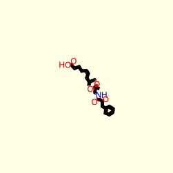 CC1(CNC(=O)C(=O)Cc2ccccc2)OCC(C/C=C\CCCC(=O)O)CO1